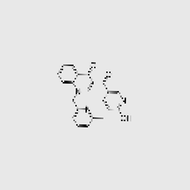 Cc1cccc(Cn2cc(C(=O)c3ccc(O)nc3)c(=O)c3ccccc32)n1